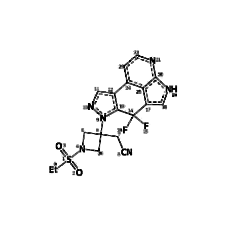 CCS(=O)(=O)N1CC(CC#N)(n2ncc3c2C(F)(F)c2c[nH]c4nccc-3c24)C1